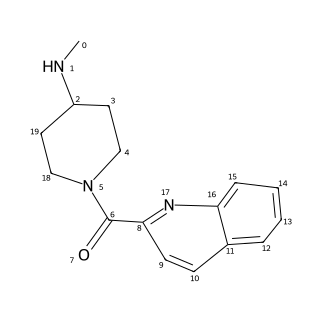 CNC1CCN(C(=O)c2ccc3ccccc3n2)CC1